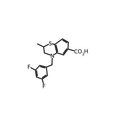 CC1CN(Cc2cc(F)cc(F)c2)c2cc(C(=O)O)ccc2S1